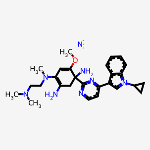 COC1=CC(N(C)CCN(C)C)=C(N)CC1(N)c1nccc(-c2cn(C3CC3)c3ccccc23)n1.[N]